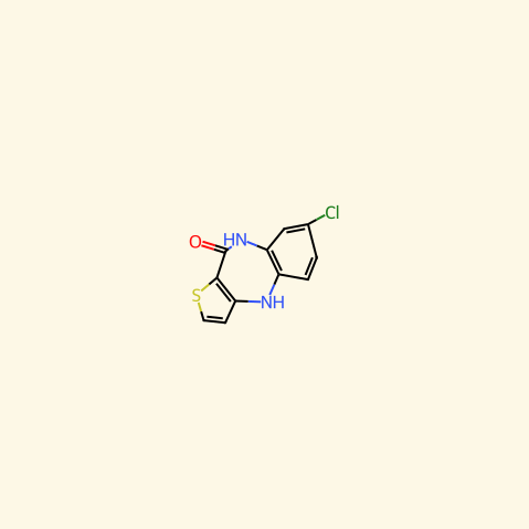 O=C1Nc2cc(Cl)ccc2Nc2ccsc21